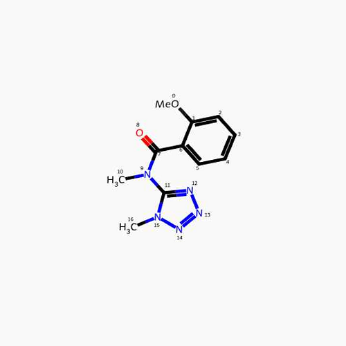 COc1ccccc1C(=O)N(C)c1nnnn1C